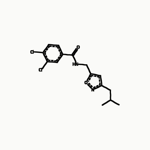 CC(C)Cc1cc(CNC(=O)c2ccc(Cl)c(Cl)c2)on1